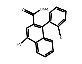 COC(=O)c1cc(O)c2ccccc2c1-c1ccccc1Br